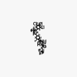 Cc1cc(/C(F)=C/C(c2cc(Cl)c(Cl)c(Cl)c2)C(F)(F)F)ccc1C(=O)NC(C)NC(=O)CCC(F)(F)F